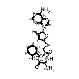 C[C@H](NP(=O)(CO[C@H]1C=C(F)[C@H](n2cnc3c(N)ncnc32)O1)Oc1ccccc1)C(=O)O